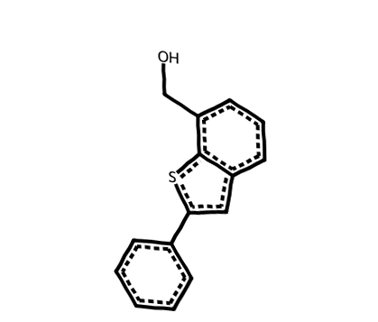 OCc1cccc2cc(-c3ccccc3)sc12